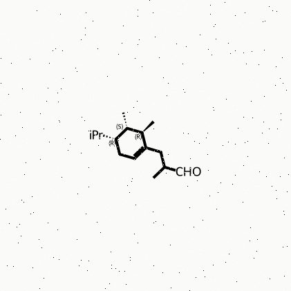 CC(C=O)CC1=CC[C@H](C(C)C)[C@H](C)[C@H]1C